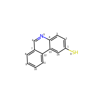 Sc1ccc2ncc3ccccc3c2c1